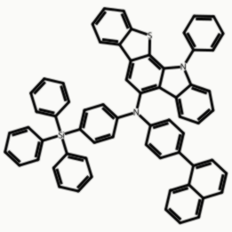 c1ccc(-n2c3ccccc3c3c(N(c4ccc(-c5cccc6ccccc56)cc4)c4ccc([Si](c5ccccc5)(c5ccccc5)c5ccccc5)cc4)cc4c5ccccc5sc4c32)cc1